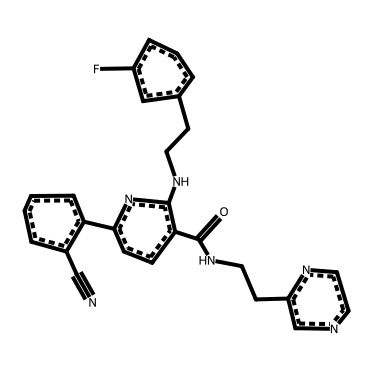 N#Cc1ccccc1-c1ccc(C(=O)NCCc2cnccn2)c(NCCc2cccc(F)c2)n1